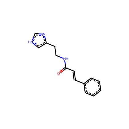 O=C(C=Cc1ccccc1)NCCc1c[nH]cn1